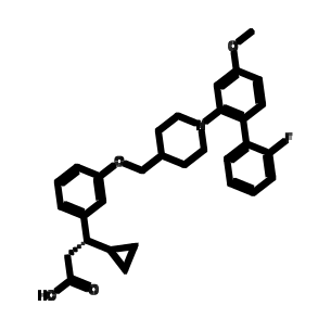 COc1ccc(-c2ccccc2F)c(N2CCC(COc3cccc([C@@H](CC(=O)O)C4CC4)c3)CC2)c1